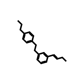 CC/C=C/c1cccc(CCc2ccc(CCC)cc2)c1